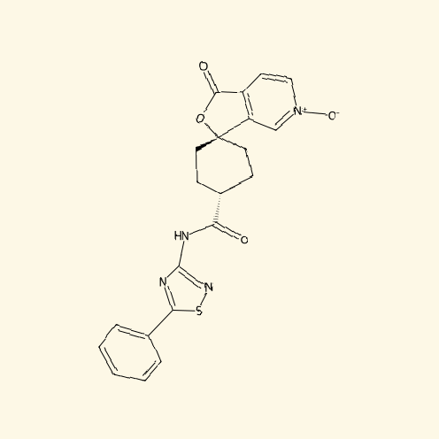 O=C1O[C@]2(CC[C@@H](C(=O)Nc3nsc(-c4ccccc4)n3)CC2)c2c[n+]([O-])ccc21